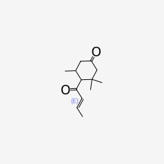 C/C=C/C(=O)C1C(C)CC(=O)CC1(C)C